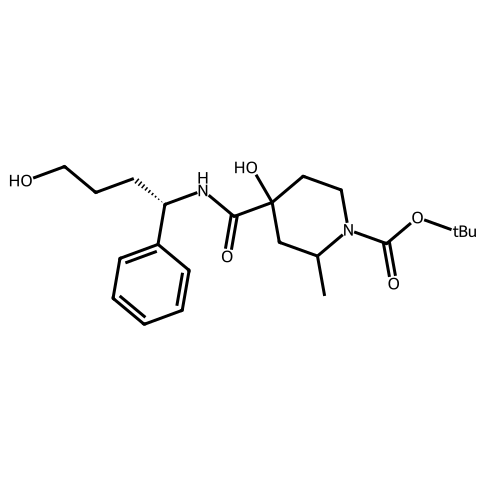 CC1CC(O)(C(=O)N[C@@H](CCCO)c2ccccc2)CCN1C(=O)OC(C)(C)C